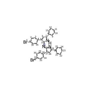 Brc1ccc(C2=CC(c3ccccc3)=N/C2=N\c2[nH]c(-c3ccccc3)cc2-c2ccc(Br)cc2)cc1